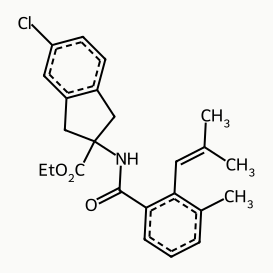 CCOC(=O)C1(NC(=O)c2cccc(C)c2C=C(C)C)Cc2ccc(Cl)cc2C1